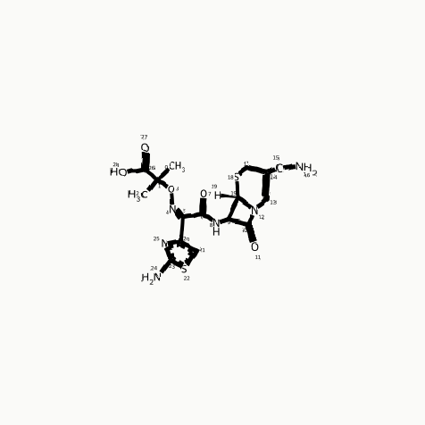 CC(C)(O/N=C(\C(=O)NC1C(=O)N2C=C(CN)CS[C@@H]12)c1csc(N)n1)C(=O)O